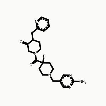 Nc1ncc(CN2CCC(F)(C(=O)N3CCC(Cc4ccccn4)C(=O)C3)CC2)cn1